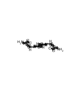 CC1(C)O[C@H]2[C@@H](OC(C)(C)O[C@H]2C(=O)NCc2cn(CCCCNS(=O)(=O)c3ccc(O[C@H]4c5cc(Cl)cc(Cl)c5C[C@@H]4N4CCC[C@@H](N)C4)cc3)nn2)[C@@H](C(=O)NCc2cn(CCCCNS(=O)(=O)c3ccc(O[C@H]4c5cc(Cl)cc(Cl)c5C[C@@H]4N4CCC[C@@H](N)C4)cc3)nn2)O1